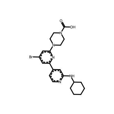 O=C(O)N1CCN(c2cc(Br)cc(-c3ccnc(NC4CCCCC4)c3)n2)CC1